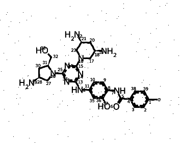 Cc1ccc(C(=O)Nc2ccc(Nc3nc(N4C[C@H](N)C[C@H](N)C4)nc(N4C[C@@H](N)C[C@H]4CO)n3)cc2O)cc1